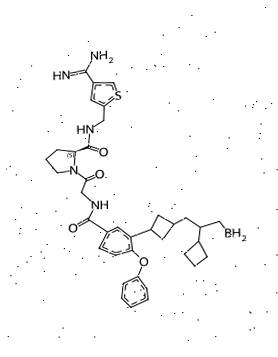 BCC(CC1CC(c2cc(C(=O)NCC(=O)N3CCC[C@H]3C(=O)NCc3cc(C(=N)N)cs3)ccc2Oc2ccccc2)C1)C1CCC1